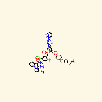 Cn1cc(C(=O)Nc2cc(F)c(CC(=O)N3C[C@@H](N4CCN(c5ccccn5)CC4)C[C@H]3CO[C@H]3CC[C@H](C(=O)O)CC3)cc2Cl)c2ccccc21